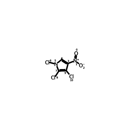 O=[N+]([O-])c1cn(Cl)c(Cl)c1Cl